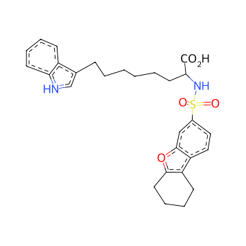 O=C(O)C(CCCCCCc1c[nH]c2ccccc12)NS(=O)(=O)c1ccc2c3c(oc2c1)CCCC3